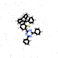 c1ccc(-c2nc(-c3ccccc3)nc(-c3cccc4c3Sc3ccccc3C43c4ccccc4-c4ccccc43)n2)cc1